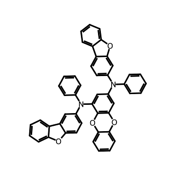 c1ccc(N(c2cc3c(c(N(c4ccccc4)c4ccc5oc6ccccc6c5c4)c2)Oc2ccccc2O3)c2ccc3c(c2)oc2ccccc23)cc1